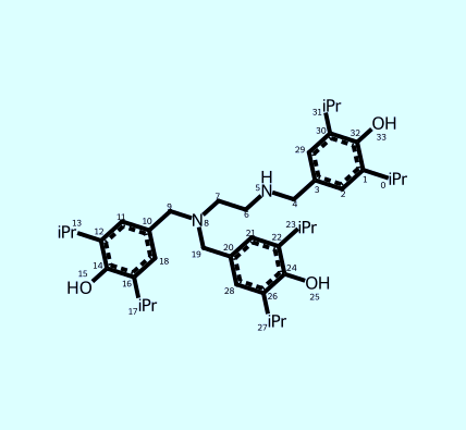 CC(C)c1cc(CNCCN(Cc2cc(C(C)C)c(O)c(C(C)C)c2)Cc2cc(C(C)C)c(O)c(C(C)C)c2)cc(C(C)C)c1O